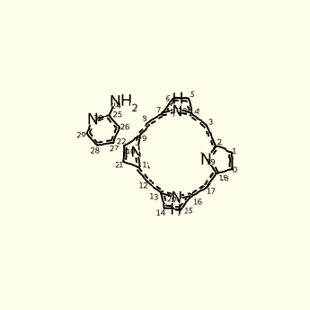 C1=Cc2cc3ccc(cc4nc(cc5ccc(cc1n2)[nH]5)C=C4)[nH]3.Nc1ccccn1